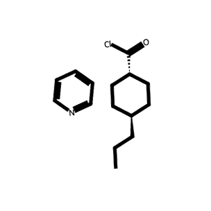 CCC[C@H]1CC[C@H](C(=O)Cl)CC1.c1ccncc1